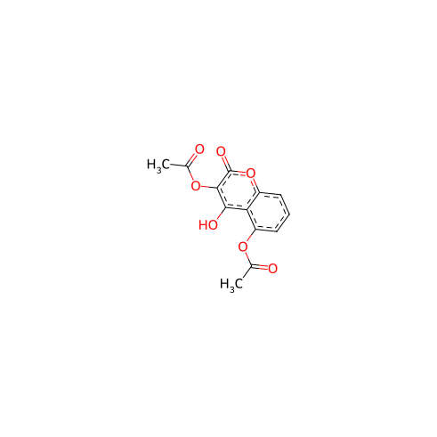 CC(=O)Oc1c(O)c2c(OC(C)=O)cccc2oc1=O